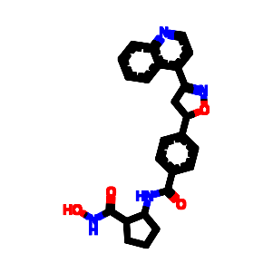 O=C(NC1CCCC1C(=O)NO)c1ccc(C2CC(c3ccnc4ccccc34)=NO2)cc1